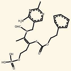 C/C(=C(\CCOP(=O)(O)O)SC(=O)OCCc1ccccc1)N(C=O)Cc1cnc(C)nc1N